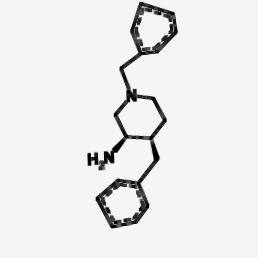 N[C@H]1CN(Cc2ccccc2)CC[C@H]1Cc1ccccc1